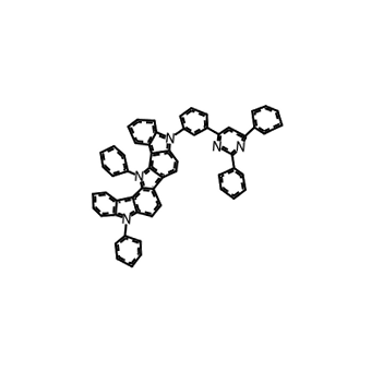 c1ccc(-c2cc(-c3cccc(-n4c5ccccc5c5c4ccc4c6ccc7c(c8ccccc8n7-c7ccccc7)c6n(-c6ccccc6)c45)c3)nc(-c3ccccc3)n2)cc1